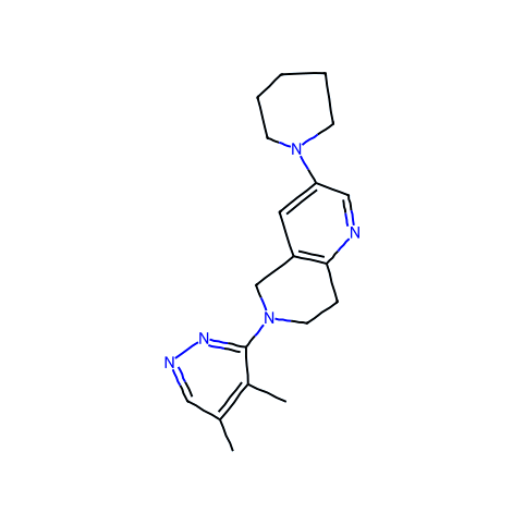 Cc1cnnc(N2CCc3ncc(N4CCCCC4)cc3C2)c1C